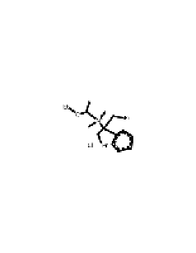 CCOC(C)[N+](C)(C)C(CC(C)C)(CC(C)C)c1ccccc1.[Cl-]